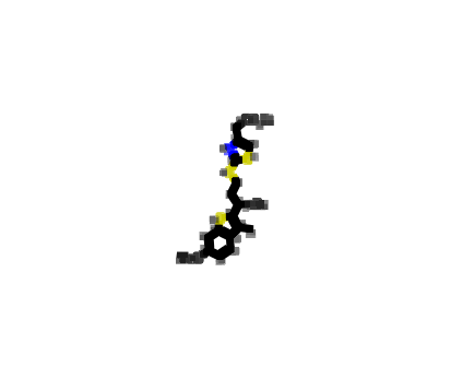 CCCCC(CCSc1nc(CC(=O)OCC)cs1)c1sc2cc(OC)ccc2c1C